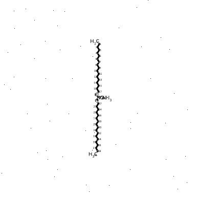 CCCCCCCCCCCCCCCCCCO[N+](=O)OCCCCCCCCCCCCCCCCCC.N